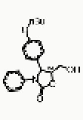 CCCCOc1ccc(C2[C@@H](CO)OC(=O)N2c2ccccc2)cc1